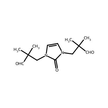 CC(C)(C=O)Cn1ccn(CC(C)(C)C=O)c1=O